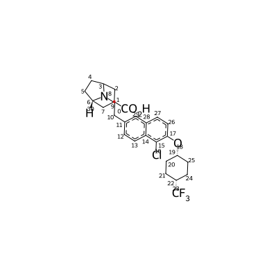 O=C(O)C1CC2CC[C@@H](C1)N2CCc1ccc2c(Cl)c(O[C@H]3CC[C@@H](C(F)(F)F)CC3)ccc2c1